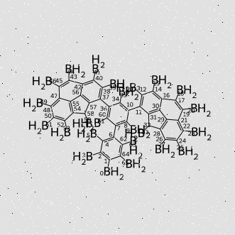 Bc1c(B)c(B)c(-c2c(B)c(-c3c(B)c(B)c4c(B)c(B)c5c(B)c(B)c(B)c6c5c4c3C6B)c(B)c(-c3c(B)c(B)c4c(B)c(B)c5c(B)c(B)c(B)c6c5c4c3C6B)c2B)c(B)c1B